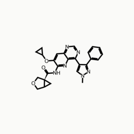 Cn1cc(-c2ncnc3cc(OC4CC4)c(NC(=O)[C@]45COCC4C5)nc23)c(-c2ccccc2)n1